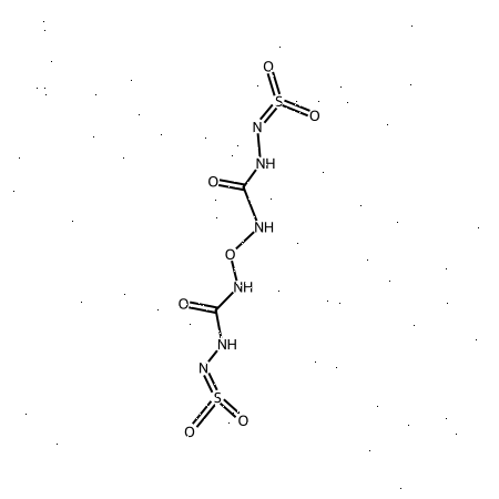 O=C(NN=S(=O)=O)NONC(=O)NN=S(=O)=O